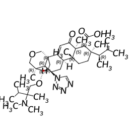 CC(C)[C@@H](C)[C@@]1(C)CC[C@]2(C)[C@H]3CC[C@@H]4[C@@]5(COC[C@]4(C)[C@@H](OCC(C)(C(C)C)N(C)C)[C@H](n4cnnn4)C5)C3=CC(=O)[C@@]2(C)[C@@H]1C(=O)O